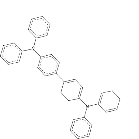 C1=CC(N(C2=CC=C(c3ccc(N(c4ccccc4)c4ccccc4)cc3)CC2)c2ccccc2)=CCC1